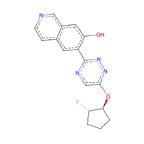 Oc1cc2cnccc2cc1-c1ncc(O[C@H]2CCC[C@@H]2F)nn1